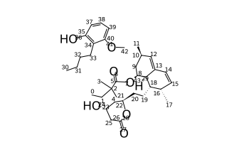 CCC(C)(C)C(=O)O[C@H]1C[C@@H](C)C=C2C=C[C@H](C)[C@H](CC[C@@H]3C[C@@H](O)CC(=O)O3)[C@H]21.CCCCc1c(O)cccc1OC